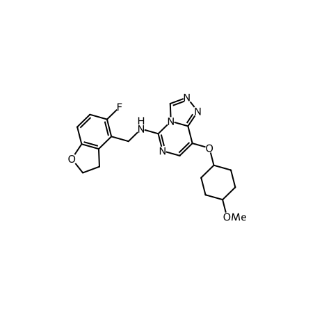 COC1CCC(Oc2cnc(NCc3c(F)ccc4c3CCO4)n3cnnc23)CC1